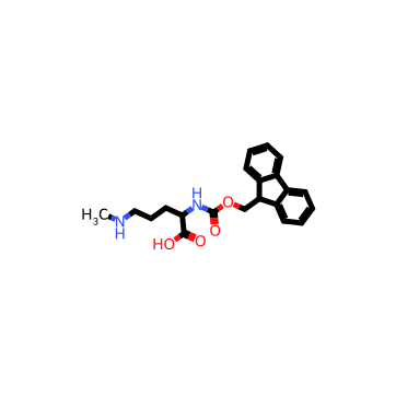 CNCCCC(NC(=O)OCC1c2ccccc2-c2ccccc21)C(=O)O